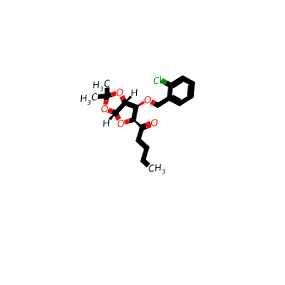 CCCCC(=O)[C@H]1O[C@@H]2OC(C)(C)O[C@@H]2[C@H]1OCc1ccccc1Cl